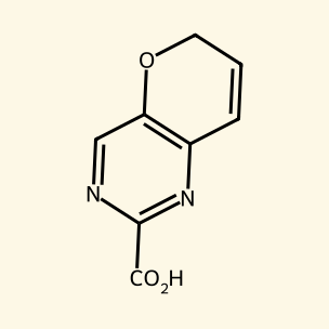 O=C(O)c1ncc2c(n1)C=CCO2